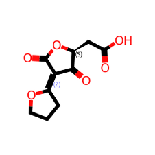 O=C(O)C[C@@H]1OC(=O)/C(=C2/CCCO2)C1=O